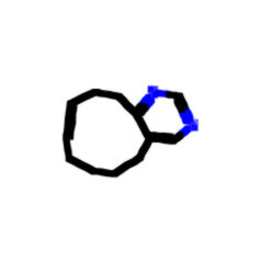 C1=C\CCc2ncncc2CCCC/1